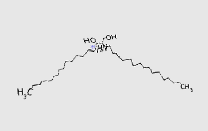 CCCCCCCCCCCCC/C=C/C(O)C(CO)NCCCCCCCCCCCCCCCC